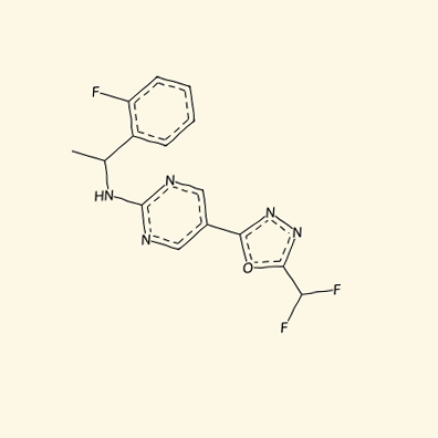 CC(Nc1ncc(-c2nnc(C(F)F)o2)cn1)c1ccccc1F